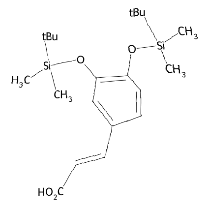 CC(C)(C)[Si](C)(C)Oc1ccc(C=CC(=O)O)cc1O[Si](C)(C)C(C)(C)C